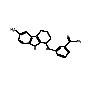 CC(=O)c1cccc(NC2CCCc3c2[nH]c2ccc(C)cc32)c1